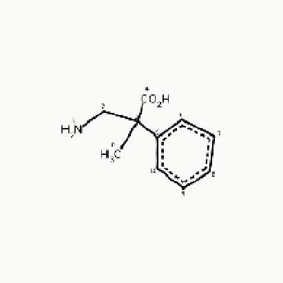 CC(CN)(C(=O)O)c1ccccc1